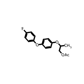 CC(=O)OCC(C)Oc1ccc(Oc2ccc(F)cc2)cc1